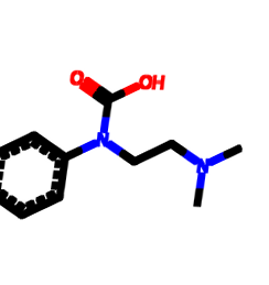 CN(C)CCN(C(=O)O)c1ccccc1